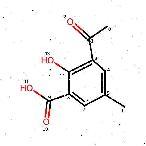 CC(=O)c1cc(C)cc(C(=O)O)c1O